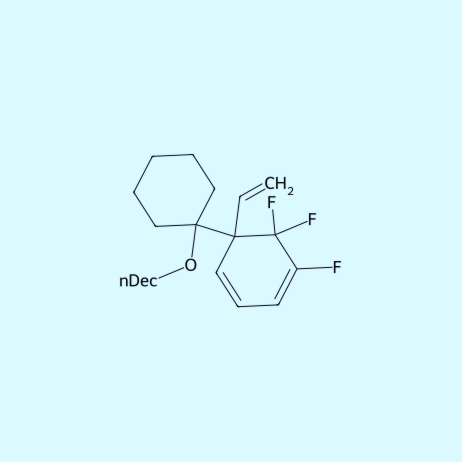 C=CC1(C2(OCCCCCCCCCC)CCCCC2)C=CC=C(F)C1(F)F